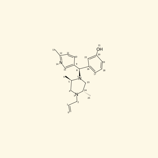 C=CCN1C[C@@H](C)N([C@@H](c2ccc(C)nc2)c2cccc(O)c2)C[C@@H]1C